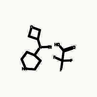 CCN(C1CCNCC1)C1COC1.O=C(O)C(F)(F)F